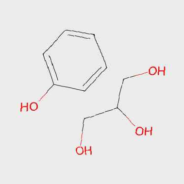 OCC(O)CO.Oc1ccccc1